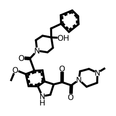 COc1cc2c(cc1C(=O)N1CCC(O)(Cc3ccccc3)CC1)C(C(=O)C(=O)N1CCN(C)CC1)CN2